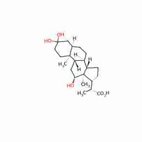 C[C@@H](C(=O)O)[C@H]1CC[C@H]2[C@@H]3CC[C@@H]4CC(O)(O)CC[C@]4(C)[C@H]3C[C@H](O)[C@]12C